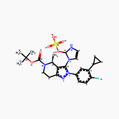 C[C@H]1c2c(nn(-c3ccc(F)c(C4CC4)c3)c2N2C=CNC2OS(=O)(=O)O)CCN1C(=O)OC(C)(C)C